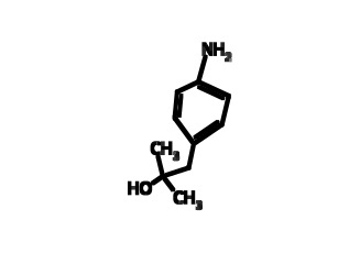 CC(C)(O)Cc1ccc(N)cc1